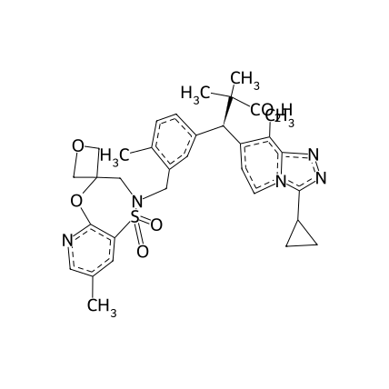 Cc1cnc2c(c1)S(=O)(=O)N(Cc1cc([C@H](c3ccn4c(C5CC5)nnc4c3C)C(C)(C)C(=O)O)ccc1C)CC1(COC1)O2